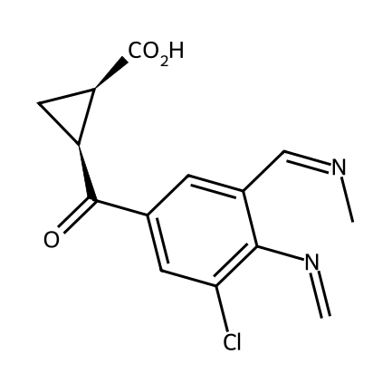 C=Nc1c(Cl)cc(C(=O)[C@H]2C[C@H]2C(=O)O)cc1/C=N\C